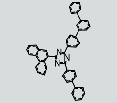 c1ccc(-c2ccc(-c3nc(-c4ccc(-c5cccc(-c6ccccc6)c5)cc4)nc(-c4cc5ccccc5c5ccccc45)n3)cc2)cc1